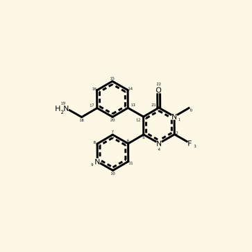 Cn1c(F)nc(-c2ccncc2)c(-c2cccc(CN)c2)c1=O